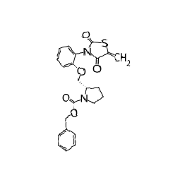 C=C1SC(=O)N(c2ccccc2OC[C@@H]2CCCN2C(=O)OCc2ccccc2)C1=O